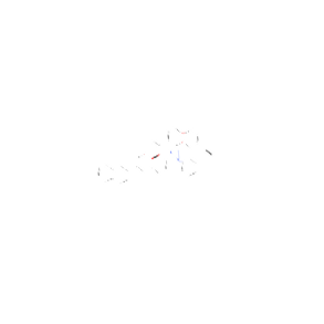 C#Cc1ccccc1-c1c(C)cccc1N(c1ccc2cc(-c3ccc4ccccc4c3)ccc2c1)c1cccc(C)c1C1=C(C)CCC=C1